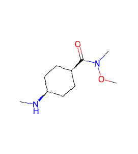 CN[C@H]1CC[C@@H](C(=O)N(C)OC)CC1